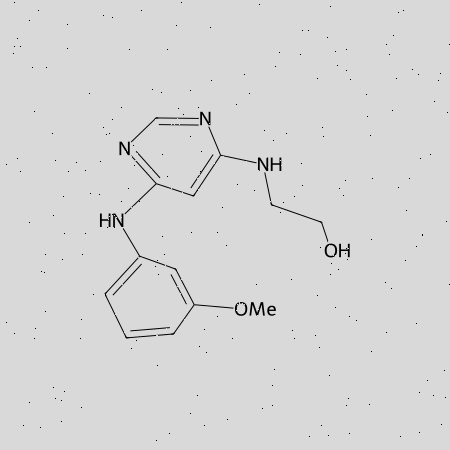 COc1cccc(Nc2cc(NCCO)ncn2)c1